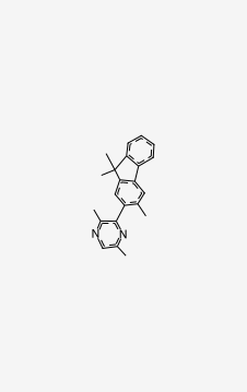 Cc1cnc(C)c(-c2cc3c(cc2C)-c2ccccc2C3(C)C)n1